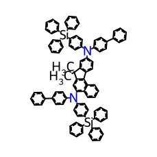 CC1(C)c2cc(N(c3ccc(-c4ccccc4)cc3)c3ccc([Si](c4ccccc4)(c4ccccc4)c4ccccc4)cc3)ccc2-c2c1cc(N(c1ccc(-c3ccccc3)cc1)c1ccc([Si](c3ccccc3)(c3ccccc3)c3ccccc3)cc1)c1ccccc21